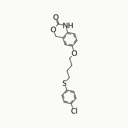 O=C1Nc2ccc(OCCCCSc3ccc(Cl)cc3)cc2CO1